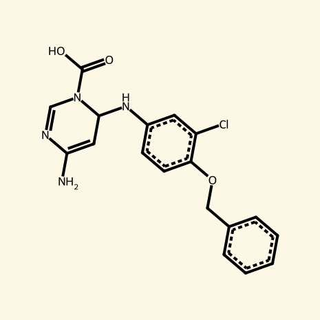 NC1=CC(Nc2ccc(OCc3ccccc3)c(Cl)c2)N(C(=O)O)C=N1